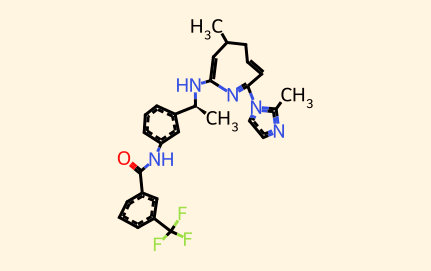 Cc1nccn1C1=N/C(N[C@@H](C)c2cccc(NC(=O)c3cccc(C(F)(F)F)c3)c2)=C\C(C)C\C=C\1